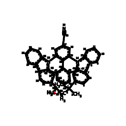 CC(C)(C)c1ccc2c3ccccc3n(-c3cc(C#N)cc(-n4c5ccccc5c5ccc(C(C)(C)C)cc54)c3-c3c(F)cccc3F)c2c1